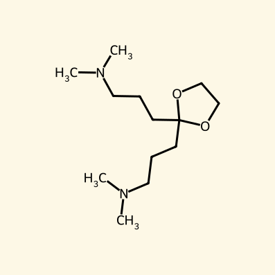 CN(C)CCCC1(CCCN(C)C)OCCO1